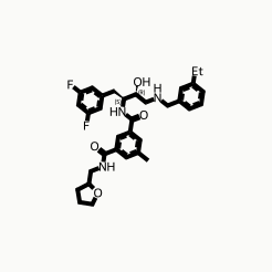 CCc1cccc(CNC[C@@H](O)[C@H](Cc2cc(F)cc(F)c2)NC(=O)c2cc(C)cc(C(=O)NCC3CCCO3)c2)c1